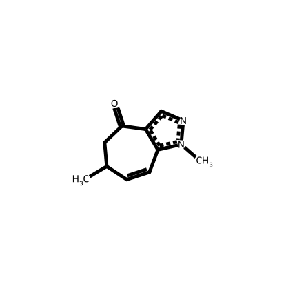 CC1C=Cc2c(cnn2C)C(=O)C1